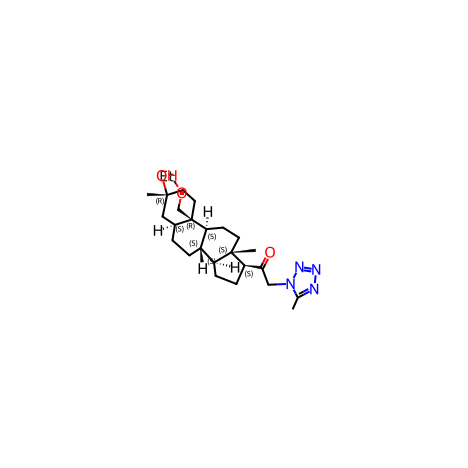 CCOC[C@]12CC[C@@](C)(O)C[C@@H]1CC[C@H]1[C@@H]3CC[C@H](C(=O)Cn4nnnc4C)[C@@]3(C)CC[C@@H]12